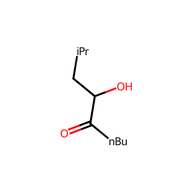 CCCCC(=O)C(O)CC(C)C